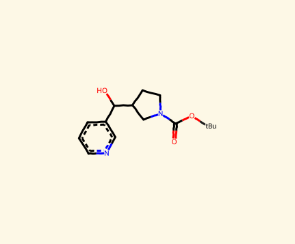 CC(C)(C)OC(=O)N1CCC(C(O)c2cccnc2)C1